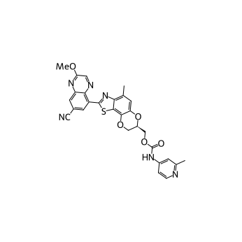 COc1cnc2c(-c3nc4c(C)cc5c(c4s3)OC[C@H](COC(=O)Nc3ccnc(C)c3)O5)cc(C#N)cc2n1